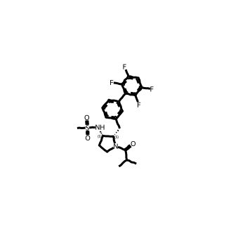 CC(C)C(=O)N1CC[C@H](NS(C)(=O)=O)[C@@H]1Cc1cccc(-c2c(F)c(F)cc(F)c2F)c1